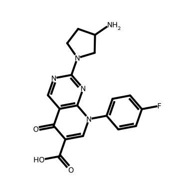 NC1CCN(c2ncc3c(=O)c(C(=O)O)cn(-c4ccc(F)cc4)c3n2)C1